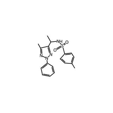 Cc1ccc(S(=O)(=O)NC(C)c2nn(-c3ccccc3)nc2C)cc1